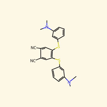 CN(C)c1cccc(Sc2cc(C#N)c(C#N)cc2Sc2cccc(N(C)C)c2)c1